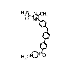 Cc1nc(C(N)=O)nn1-c1ccc(Cc2ccc(-c3ccc(C(=O)N4CCN(C)CC4)cc3)cc2)cc1